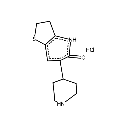 Cl.O=c1[nH]c2c(cc1C1CCNCC1)SCC2